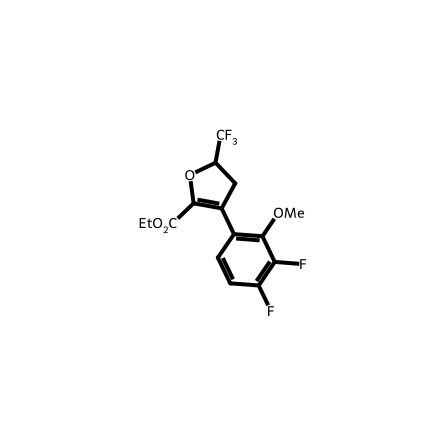 CCOC(=O)C1=C(c2ccc(F)c(F)c2OC)CC(C(F)(F)F)O1